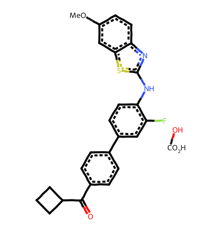 COc1ccc2nc(Nc3ccc(-c4ccc(C(=O)C5CCC5)cc4)cc3F)sc2c1.O=C(O)O